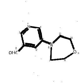 O=Cc1cncc(N2CCOCC2)c1